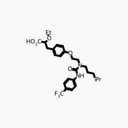 CCOC(Cc1ccc(OCCN(CCCC(C)C)C(=O)Nc2ccc(C(F)(F)F)cc2)cc1)C(=O)O